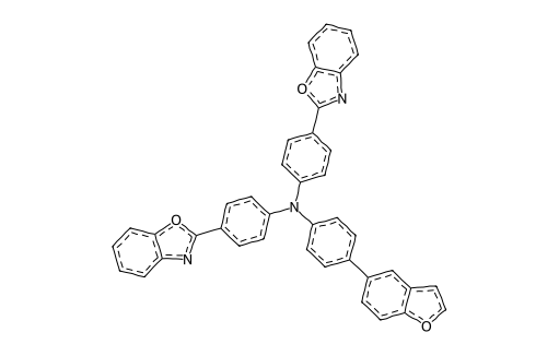 c1ccc2oc(-c3ccc(N(c4ccc(-c5ccc6occc6c5)cc4)c4ccc(-c5nc6ccccc6o5)cc4)cc3)nc2c1